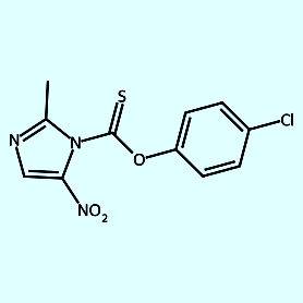 Cc1ncc([N+](=O)[O-])n1C(=S)Oc1ccc(Cl)cc1